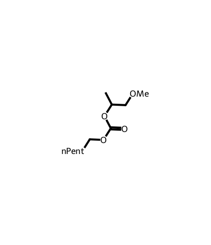 CCCCCCOC(=O)OC(C)COC